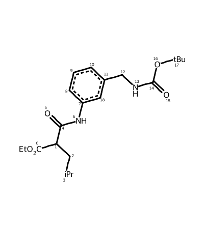 CCOC(=O)C(CC(C)C)C(=O)Nc1cccc(CNC(=O)OC(C)(C)C)c1